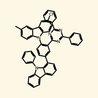 Cc1ccc2c(c1)c1cc(C(F)(F)F)ccc1n2-c1ccc(-c2cccc3c4ccccc4n(-c4ccccc4)c23)cc1-c1nc(-c2ccccc2)nc(-c2ccccc2)n1